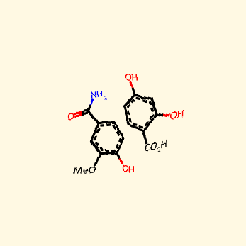 COc1cc(C(N)=O)ccc1O.O=C(O)c1ccc(O)cc1O